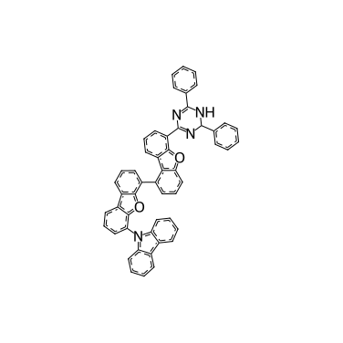 c1ccc(C2=NC(c3cccc4c3oc3cccc(-c5cccc6c5oc5c(-n7c8ccccc8c8ccccc87)cccc56)c34)=NC(c3ccccc3)N2)cc1